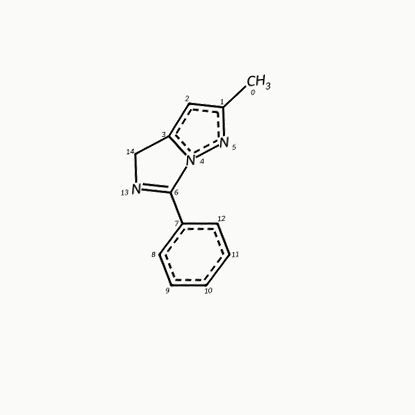 Cc1cc2n(n1)C(c1ccccc1)=NC2